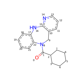 O=C(C1CCCCC1)N1Cc2cccnc2Nc2ccccc21